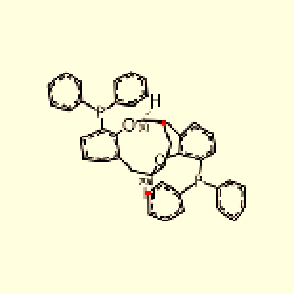 c1ccc(P(c2ccccc2)c2cccc3c2O[C@@H]2CCC[C@H](C3)Oc3c(cccc3P(c3ccccc3)c3ccccc3)C2)cc1